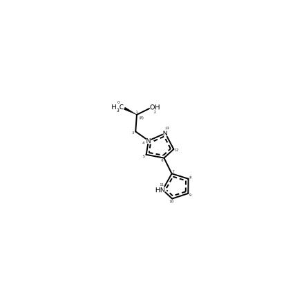 C[C@@H](O)Cn1cc(-c2ccc[nH]2)cn1